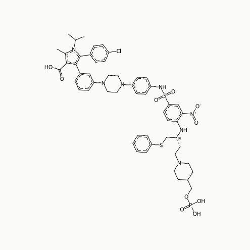 Cc1c(C(=O)O)c(-c2cccc(N3CCN(c4ccc(NS(=O)(=O)c5ccc(N[C@H](CCN6CCC(COP(=O)(O)O)CC6)CSc6ccccc6)c([N+](=O)[O-])c5)cc4)CC3)c2)c(-c2ccc(Cl)cc2)n1C(C)C